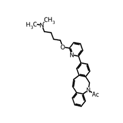 CC(=O)N1Cc2ccc(-c3cccc(OCCCCN(C)C)n3)cc2C=Cc2ccccc21